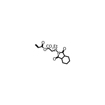 C=CC(=O)OCCN(C(=O)OCC)N1C(=O)C2CCCCC2C1=O